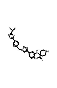 O=C1Nc2ccc(-c3cn(Cc4ccc(-c5nnc(C(F)F)o5)cn4)nn3)cc2NC12CCNCC2